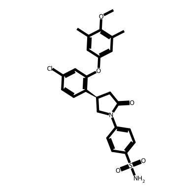 COc1c(C)cc(Oc2cc(Cl)ccc2[C@H]2CC(=O)N(c3ccc(S(N)(=O)=O)cc3)C2)cc1C